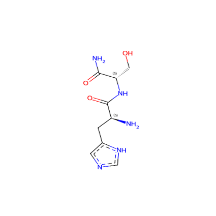 NC(=O)[C@H](CO)NC(=O)[C@@H](N)Cc1cnc[nH]1